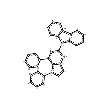 c1ccc(-c2nc(-n3c4ccccc4c4ccccc43)nc3ccn(-c4ccccc4)c23)cc1